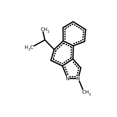 CC(C)c1cc2nn(C)cc2c2ccccc12